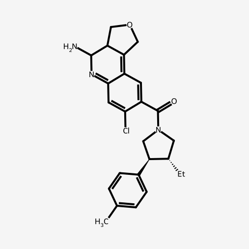 CC[C@H]1CN(C(=O)c2cc3c(cc2Cl)=NC(N)C2COCC=32)C[C@@H]1c1ccc(C)cc1